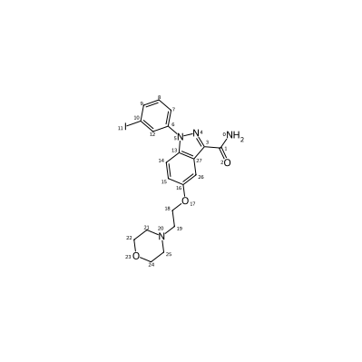 NC(=O)c1nn(-c2cccc(I)c2)c2ccc(OCCN3CCOCC3)cc12